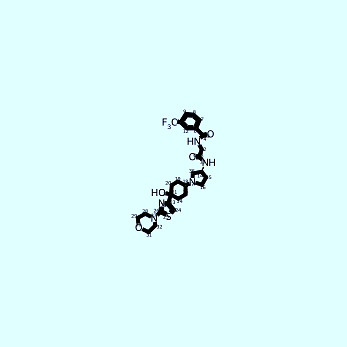 O=C(CNC(=O)c1cccc(C(F)(F)F)c1)N[C@@H]1CCN(C2CCC(O)(c3csc(N4CCOCC4)n3)CC2)C1